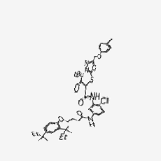 CCC(C)(C)c1ccc(OCCCC(=O)Nc2ccc(Cl)c(NC(=O)C(Sc3nnc(COc4ccc(C)cc4)o3)C(=O)C(C)(C)C)c2)c(C(C)(C)CC)c1